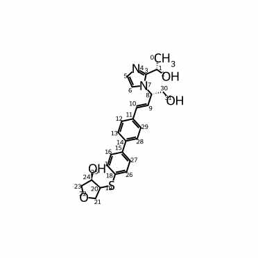 C[C@H](O)c1nccn1[C@@H](/C=C/c1ccc(-c2ccc(SC3COC[C@H]3O)cc2)cc1)CO